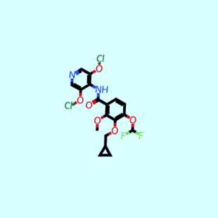 COc1c(C(=O)Nc2c(OCl)cncc2OCl)ccc(OC(F)F)c1OCC1CC1